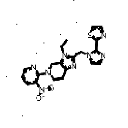 CCn1c(Cn2ccnc2-c2nccs2)nc2c1CN(c1ncccc1[N+](=O)[O-])CC2